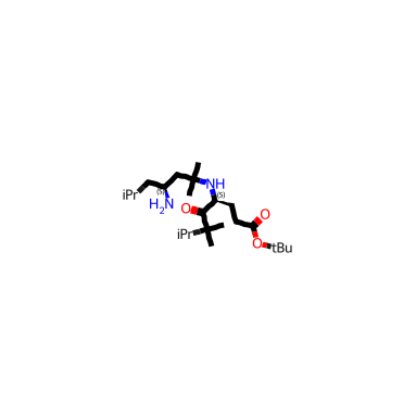 CC(C)C[C@H](N)CC(C)(C)N[C@@H](CCC(=O)OC(C)(C)C)C(=O)C(C)(C)C(C)C